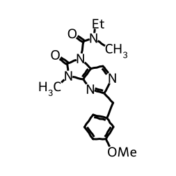 CCN(C)C(=O)n1c(=O)n(C)c2nc(Cc3cccc(OC)c3)ncc21